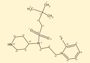 CC(C)(C)CCS(=O)(=O)N(CCCc1ccccc1F)C1CCNCC1